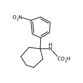 O=C(O)NC1(c2cccc([N+](=O)[O-])c2)CCCCC1